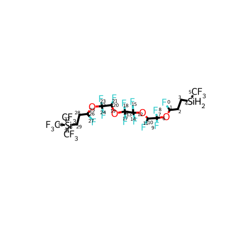 FC(CC[SiH2]C(F)(F)F)OC(F)(F)C(F)OC(F)(F)C(F)(F)OC(F)C(F)(F)OC(F)CC[Si](C(F)(F)F)(C(F)(F)F)C(F)(F)F